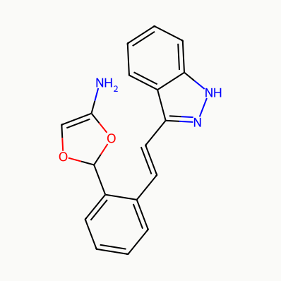 NC1=COC(c2ccccc2/C=C/c2n[nH]c3ccccc23)O1